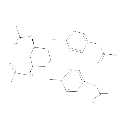 CC(=N)Nc1ccc(O[C@H]2C[C@@H](Oc3ccc(NC(=N)N)cn3)[C@H](NC(=N)N)C[C@@H]2NC(=N)N)nc1